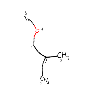 CC(C)C[O][Ti]